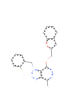 Cc1nnc(OCc2cc3ccccc3o2)c2c1nnn2Cc1ccccc1F